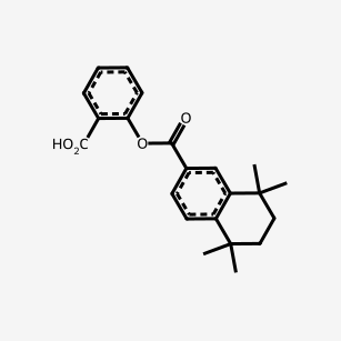 CC1(C)CCC(C)(C)c2cc(C(=O)Oc3ccccc3C(=O)O)ccc21